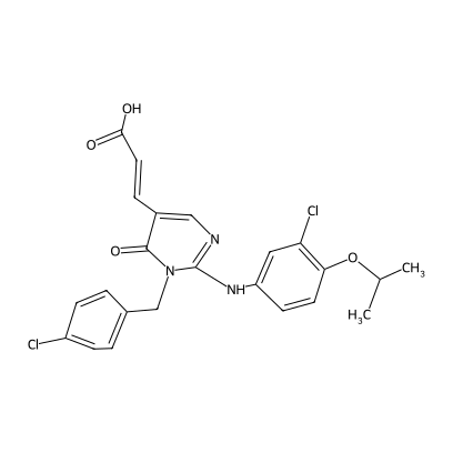 CC(C)Oc1ccc(Nc2ncc(C=CC(=O)O)c(=O)n2Cc2ccc(Cl)cc2)cc1Cl